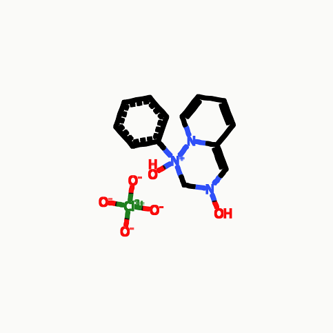 ON1C=C2C=CC=CN2[N+](O)(c2ccccc2)C1.[O-][Cl+3]([O-])([O-])[O-]